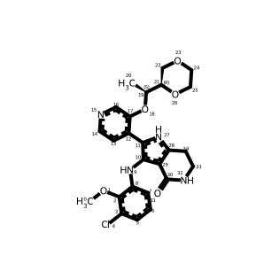 COc1c(Cl)cccc1Nc1c(-c2ccncc2O[C@@H](C)[C@H]2COCCO2)[nH]c2c1C(=O)NCC2